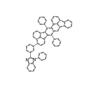 c1ccc(-c2c3cc4c5ccccc5c5cccc(c3c(-c3ccccc3)c3c6cccc7c(-c8cccc(-c9nc%10ccccc%10n9-c9ccccc9)c8)ccc(c23)c76)c54)cc1